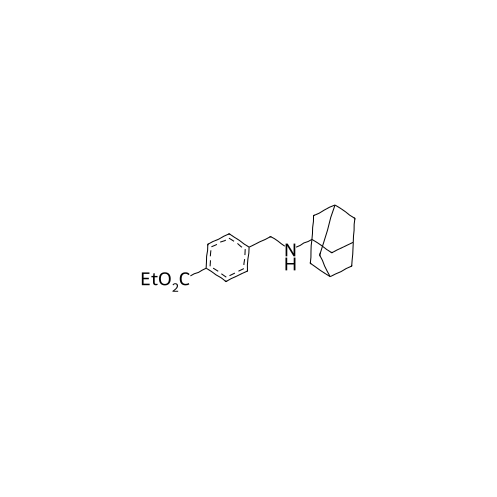 CCOC(=O)c1ccc(CNC23CC4CC(CC(C4)C2)C3)cc1